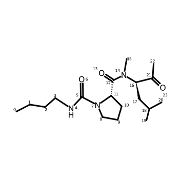 CCCCNC(=O)N1CCC[C@H]1C(=O)N(C)[C@H](CC(C)C)C(C)=O